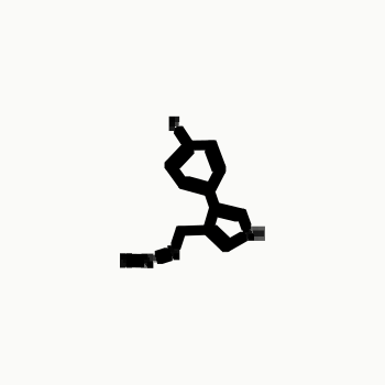 [N-]=[N+]=NCc1c[nH]cc1-c1ccc(F)cc1